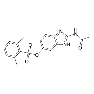 CC(=O)Nc1nc2ccc(OS(=O)(=O)c3c(C)cccc3C)cc2[nH]1